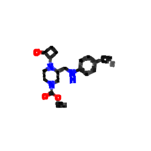 CC(C)(C)OC(=O)N1CCN(C2CCC2=O)C(CNc2ccc(C(F)(F)F)cc2)C1